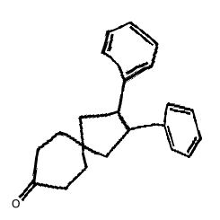 O=C1CCC2(CC1)CC(c1ccccc1)C(c1ccccc1)C2